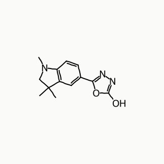 CN1CC(C)(C)c2cc(-c3nnc(O)o3)ccc21